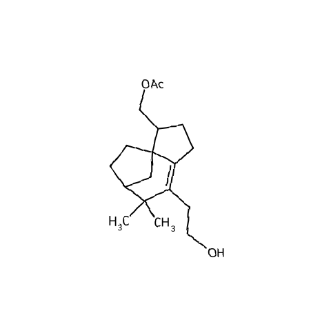 CC(=O)OCC1CCC2=C(CCO)C(C)(C)C3CCC21C3